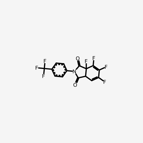 O=C1C2C=C(F)C(F)=C(F)C2(F)C(=O)N1c1ccc(C(F)(F)F)cc1